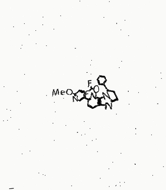 COc1ccc(-c2ccc3nc4n(c3n2)C(c2ccccc2OC(F)F)CC4)cn1